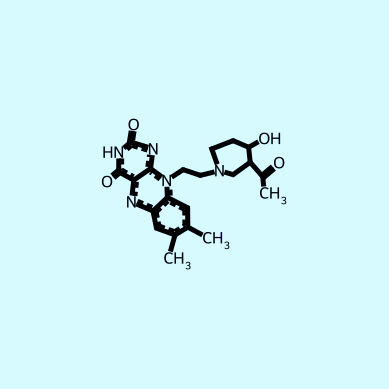 CC(=O)C1CN(CCn2c3nc(=O)[nH]c(=O)c-3nc3cc(C)c(C)cc32)CCC1O